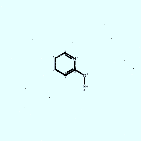 SOC1=CCCC=N1